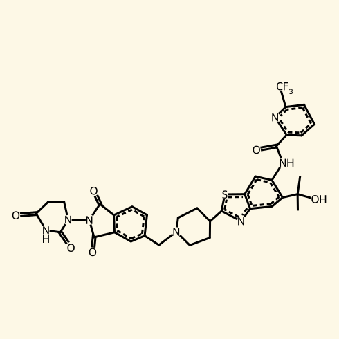 CC(C)(O)c1cc2nc(C3CCN(Cc4ccc5c(c4)C(=O)N(N4CCC(=O)NC4=O)C5=O)CC3)sc2cc1NC(=O)c1cccc(C(F)(F)F)n1